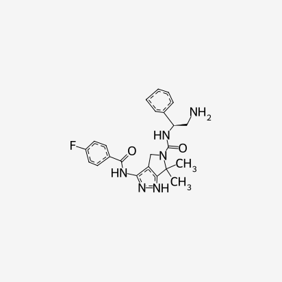 CC1(C)c2[nH]nc(NC(=O)c3ccc(F)cc3)c2CN1C(=O)N[C@H](CN)c1ccccc1